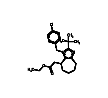 CCOC(=O)CC1CCCCc2nc(C(C)(C)C)n(Cc3ccc(Cl)cc3)c21